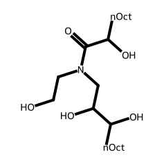 CCCCCCCCC(O)C(=O)N(CCO)CC(O)C(O)CCCCCCCC